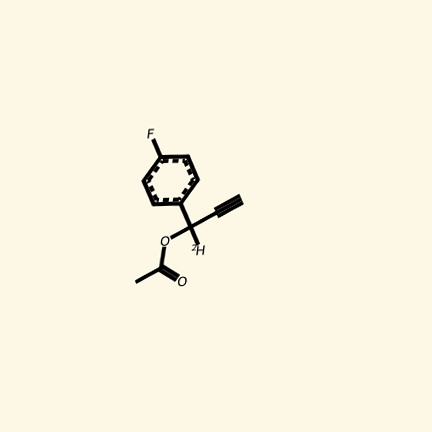 [2H]C(C#C)(OC(C)=O)c1ccc(F)cc1